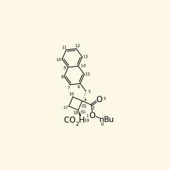 CCCCOC(=O)[C@]1(Cc2ccc3ccccc3c2)CC[C@@H]1C(=O)O